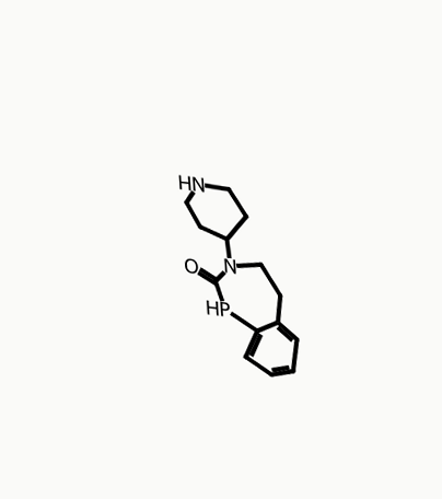 O=C1Pc2ccccc2CCN1C1CCNCC1